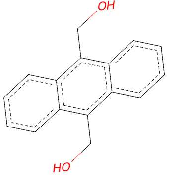 OCc1c2ccccc2c(CO)c2ccccc12